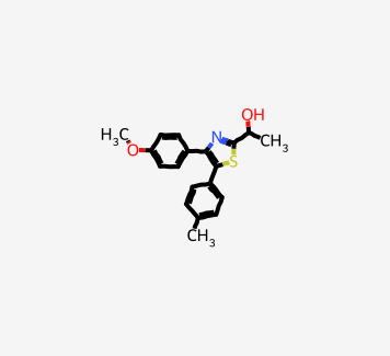 COc1ccc(-c2nc(C(C)O)sc2-c2ccc(C)cc2)cc1